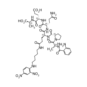 C[C@H](NC(=O)[C@H](CCC(=O)O)NC(=O)[C@H](CCC(N)=O)NC(=O)[C@H](CCC(=O)NCCCCCNc1ccc([N+](=O)[O-])cc1[N+](=O)[O-])NC(=O)[C@@H]1CCCN1C(=O)[C@H](C)NC(=O)c1ccccc1N)C(=O)O